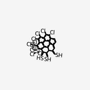 SC=C1C(=CS)C2C(=CS)C=c3ccc4c(Cl)c(Cl)c5c(Cl)c(Cl)c6c([Si](Cl)(Cl)Cl)c([Si](Cl)(Cl)Cl)c1c1c2c3c4c5c61